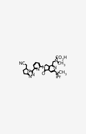 CC(C)N(C)c1cc2c(c(CN(C)C(=O)O)n1)CN(c1cccc(-c3nnc4n3C(CC#N)CC4)n1)C2=O